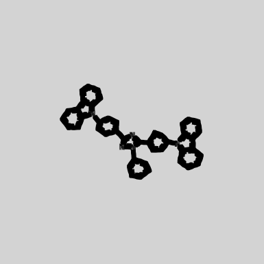 c1ccc(-n2nc(-c3ccc(-n4c5ccccc5c5ccccc54)cc3)nc2-c2ccc(-n3c4ccccc4c4ccccc43)cc2)cc1